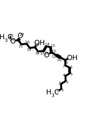 CCCCC/C=C\CC(O)C#Cc1ccc(CC(O)CCCC(=O)OC)o1